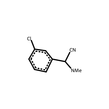 CNC(C#N)c1cccc(Cl)c1